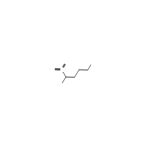 CCCCC(CCCO)[SH](=O)=O